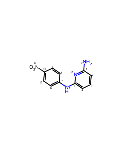 Nc1cccc(Nc2ccc([N+](=O)[O-])cc2)n1